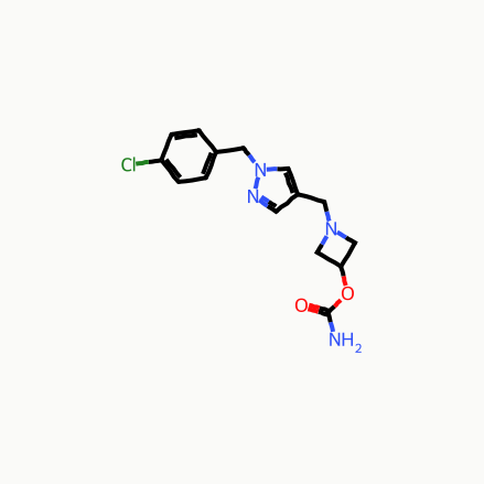 NC(=O)OC1CN(Cc2cnn(Cc3ccc(Cl)cc3)c2)C1